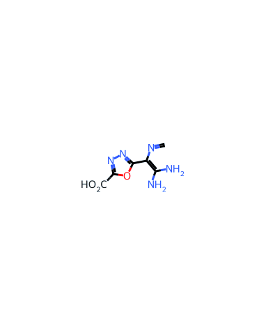 C=NC(=C(N)N)c1nnc(C(=O)O)o1